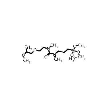 COC(C)COCCN(C)C(=O)N(C)CCC[Si](OC)(OC)OC